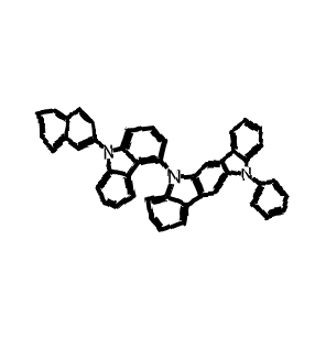 c1ccc(-n2c3ccccc3c3cc4c(cc32)c2ccccc2n4-c2cccc3c2c2ccccc2n3-c2ccc3ccccc3c2)cc1